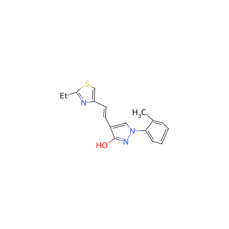 CCc1nc(C=Cc2cn(-c3ccccc3C)nc2O)cs1